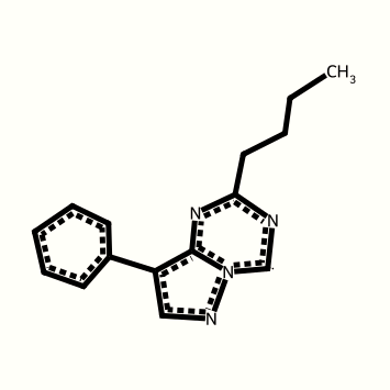 CCCCc1n[c]n2ncc(-c3ccccc3)c2n1